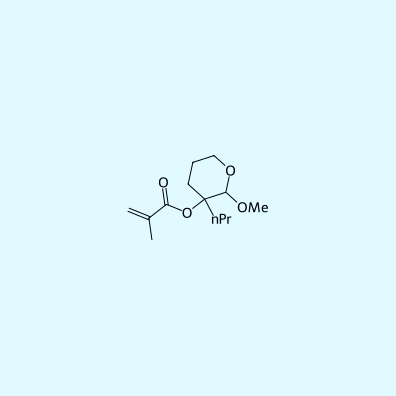 C=C(C)C(=O)OC1(CCC)CCCOC1OC